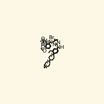 CCc1cc(Nc2ncc(Br)c(Nc3ccc4c(c3N(C)S(C)(=O)=O)OCCO4)n2)ccc1N1CCC(N2CCN(C)CC2)CC1